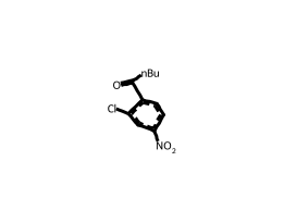 CCCCC(=O)c1ccc([N+](=O)[O-])cc1Cl